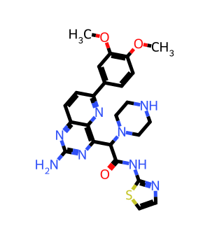 COc1ccc(-c2ccc3nc(N)nc(C(C(=O)Nc4nccs4)N4CCNCC4)c3n2)cc1OC